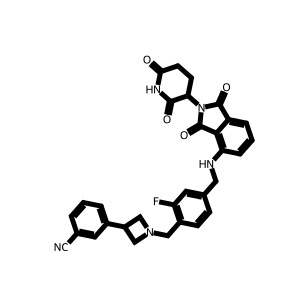 N#Cc1cccc(C2CN(Cc3ccc(CNc4cccc5c4C(=O)N(C4CCC(=O)NC4=O)C5=O)cc3F)C2)c1